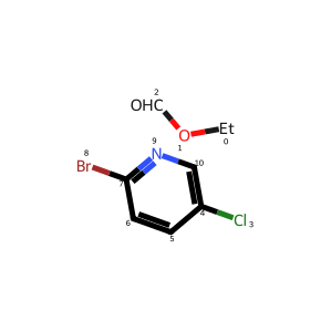 CCOC=O.Clc1ccc(Br)nc1